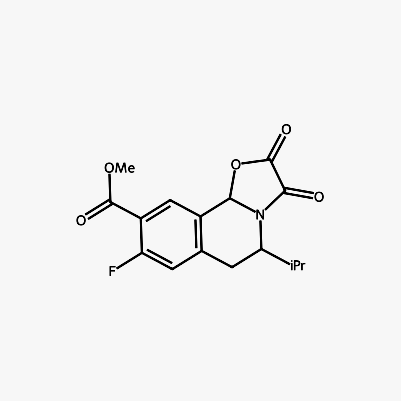 COC(=O)c1cc2c(cc1F)CC(C(C)C)N1C(=O)C(=O)OC21